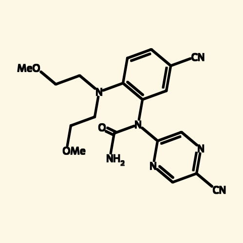 COCCN(CCOC)c1ccc(C#N)cc1N(C(N)=O)c1cnc(C#N)cn1